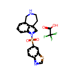 O=C(O)C(F)(F)F.O=S(=O)(c1ccc2ncsc2c1)n1cc2c3c(cccc31)CNCC2